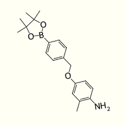 Cc1cc(OCc2ccc(B3OC(C)(C)C(C)(C)O3)cc2)ccc1N